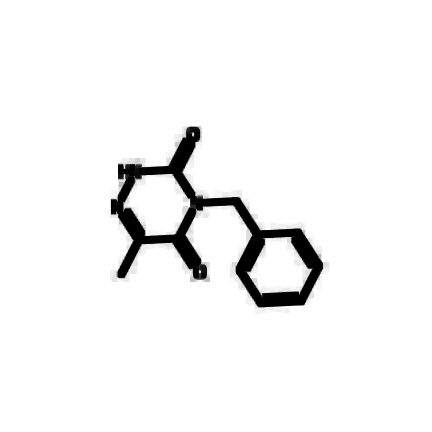 Cc1n[nH]c(=O)n(Cc2ccccc2)c1=O